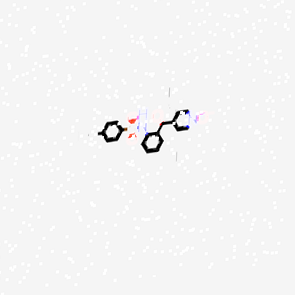 Cc1ccc(S(=O)(=O)Nc2ccc(C)cc2C(=O)c2cc[n+]([O-])cc2C)cc1